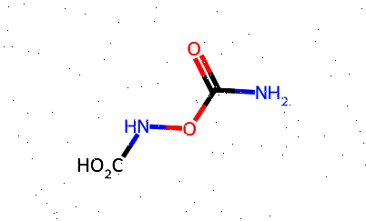 NC(=O)ONC(=O)O